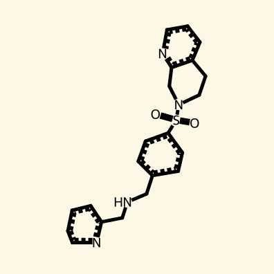 O=S(=O)(c1ccc(CNCc2ccccn2)cc1)N1CCc2cccnc2C1